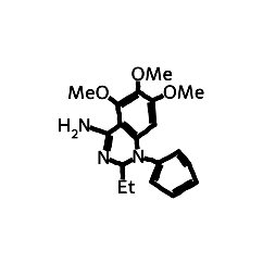 CCC1N=C(N)c2c(cc(OC)c(OC)c2OC)N1c1ccccc1